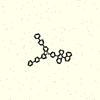 c1ccc(-c2ccc(-c3ccc4c(c3)c3cc(-c5ccc(-c6ccccc6)cc5)ccc3n4-c3ccc(-c4c5ccccc5c(-c5cccc6ccccc56)c5ccccc45)cc3)cc2)cc1